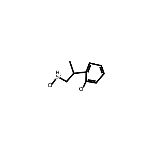 CC(C[SiH2]Cl)c1ccccc1Cl